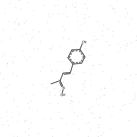 CC(C=Cc1ccc(C#N)cc1)=NO